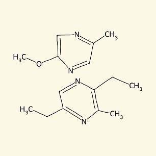 CCc1cnc(CC)c(C)n1.COc1cnc(C)cn1